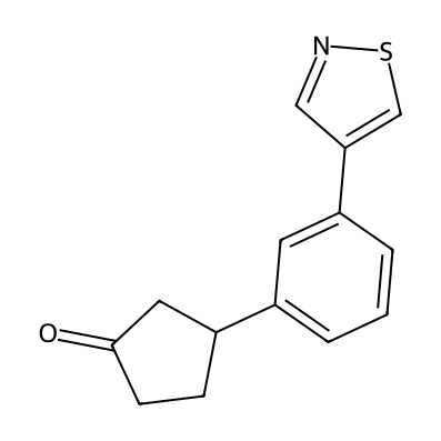 O=C1CCC(c2cccc(-c3cnsc3)c2)C1